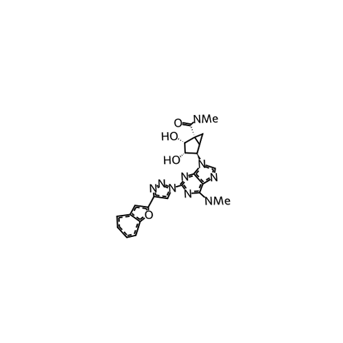 CNC(=O)[C@]12CC1[C@@H](n1cnc3c(NC)nc(-n4cc(-c5cc6ccccc6o5)nn4)nc31)[C@H](O)[C@@H]2O